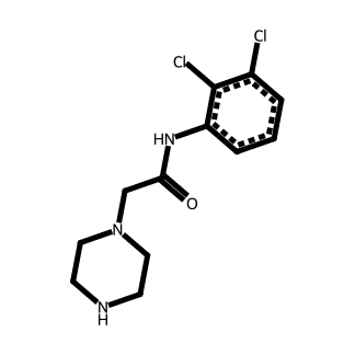 O=C(CN1CCNCC1)Nc1cccc(Cl)c1Cl